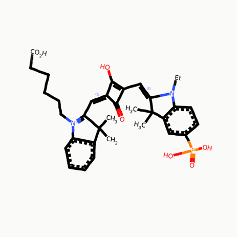 CCN1/C(=C/C2=C(O)C(=C/C3=[N+](CCCCCC(=O)O)c4ccccc4C3(C)C)/C2=O)C(C)(C)c2cc(P(=O)(O)O)ccc21